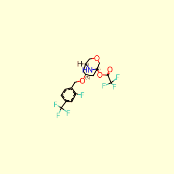 O=C(O[C@@]12COC[C@H](C[C@H](OCc3ccc(C(F)(F)F)cc3F)C1)N2)C(F)(F)F